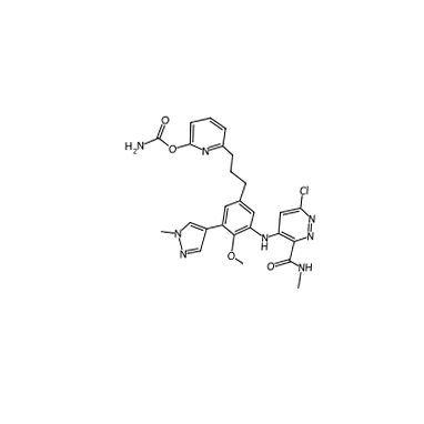 CNC(=O)c1nnc(Cl)cc1Nc1cc(CCCc2cccc(OC(N)=O)n2)cc(-c2cnn(C)c2)c1OC